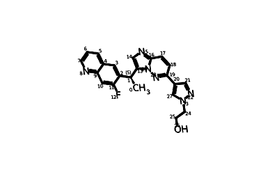 C[C@@H](c1cc2cccnc2cc1F)c1cnc2ccc(-c3cnn(CCO)c3)nn12